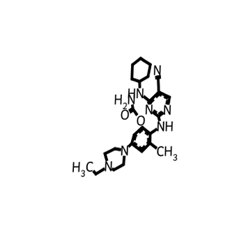 CCN1CCN(c2cc(C)c(Nc3ncc(C#N)c(NC4CCCCC4)n3)c(OC(N)=O)c2)CC1